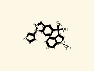 Cn1cc(C(O)(c2ccc3c(cnn3-c3ccsc3)c2)C(F)(F)F)c2ccccc21